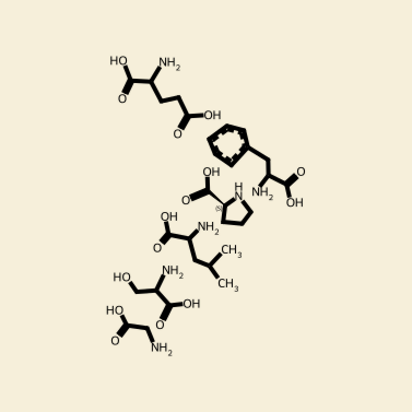 CC(C)CC(N)C(=O)O.NC(CCC(=O)O)C(=O)O.NC(CO)C(=O)O.NC(Cc1ccccc1)C(=O)O.NCC(=O)O.O=C(O)[C@@H]1CCCN1